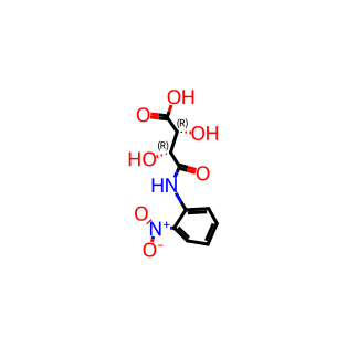 O=C(O)[C@H](O)[C@@H](O)C(=O)Nc1ccccc1[N+](=O)[O-]